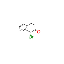 O=C1CCC23C=CC(CC2)CC3C1Br